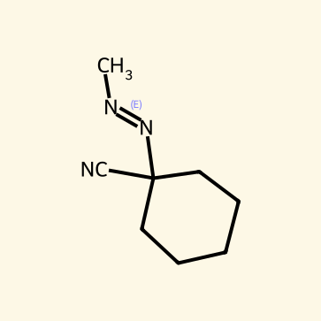 C/N=N/C1(C#N)CCCCC1